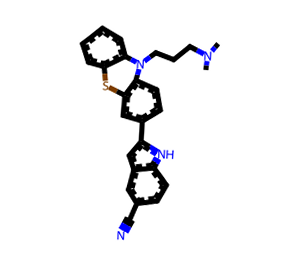 CN(C)CCCN1c2ccccc2Sc2cc(-c3cc4cc(C#N)ccc4[nH]3)ccc21